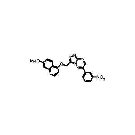 COc1ccc2c(OCc3nnc4ncc(-c5cccc([N+](=O)[O-])c5)nn34)ccnc2c1